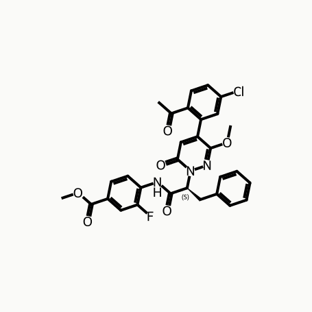 COC(=O)c1ccc(NC(=O)[C@H](Cc2ccccc2)n2nc(OC)c(-c3cc(Cl)ccc3C(C)=O)cc2=O)c(F)c1